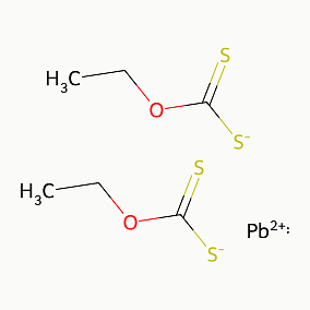 CCOC(=S)[S-].CCOC(=S)[S-].[Pb+2]